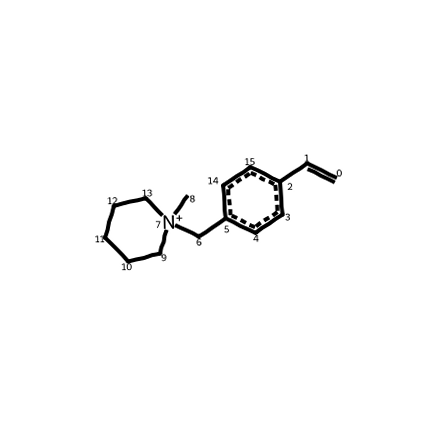 C=Cc1ccc(C[N+]2(C)CCCCC2)cc1